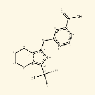 O=C(O)c1ccnc(Cn2nc(C(F)(F)F)c3c2CCCC3)c1